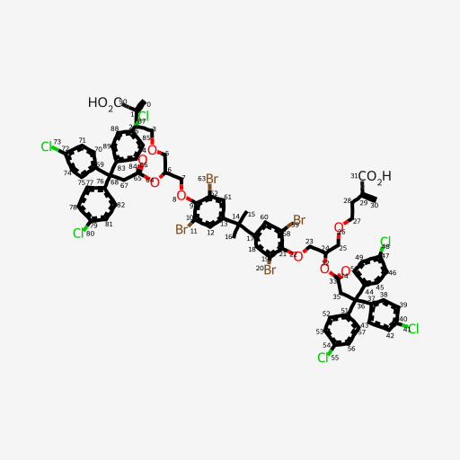 C=C(CCOCC(COc1c(Br)cc(C(C)(C)c2cc(Br)c(OCC(COCCC(=C)C(=O)O)OC(=O)CC(c3ccc(Cl)cc3)(c3ccc(Cl)cc3)c3ccc(Cl)cc3)c(Br)c2)cc1Br)OC(=O)CC(c1ccc(Cl)cc1)(c1ccc(Cl)cc1)c1ccc(Cl)cc1)C(=O)O